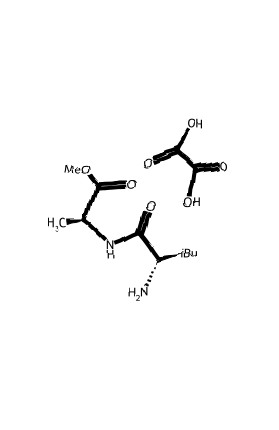 CC[C@H](C)[C@H](N)C(=O)N[C@@H](C)C(=O)OC.O=C(O)C(=O)O